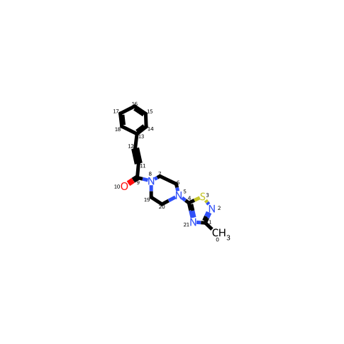 Cc1nsc(N2CCN(C(=O)C#Cc3ccccc3)CC2)n1